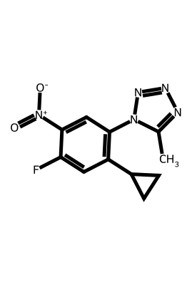 Cc1nnnn1-c1cc([N+](=O)[O-])c(F)cc1C1CC1